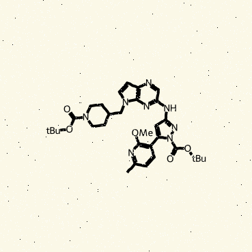 COc1nc(C)ccc1-c1cc(Nc2cnc3ccn(CC4CCN(C(=O)OC(C)(C)C)CC4)c3n2)nn1C(=O)OC(C)(C)C